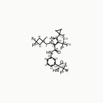 CC1(Cn2nc(C3(F)CC3)c(C(F)(F)F)c2C(=O)Nc2cccc(S(=N)(=O)C(F)(F)F)c2)CC(F)(F)C1